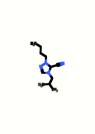 CCCCN1N=CN(CC(C)C)C1C#N